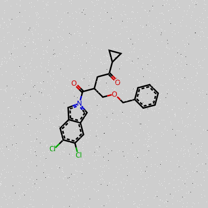 O=C(CC(COCc1ccccc1)C(=O)n1cc2cc(Cl)c(Cl)cc2c1)C1CC1